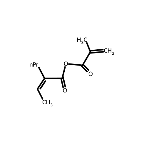 C=C(C)C(=O)OC(=O)C(=CC)CCC